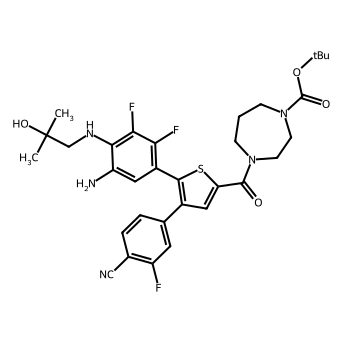 CC(C)(O)CNc1c(N)cc(-c2sc(C(=O)N3CCCN(C(=O)OC(C)(C)C)CC3)cc2-c2ccc(C#N)c(F)c2)c(F)c1F